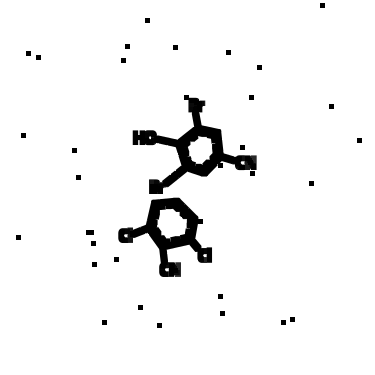 N#Cc1c(Cl)cccc1Cl.N#Cc1cc(Br)c(O)c(Br)c1